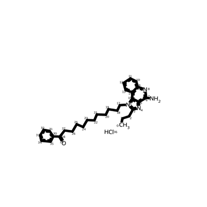 CCCc1nc2c(N)nc3ccccc3c2n1CCCCCCCCCCCC(=O)c1ccccc1.Cl